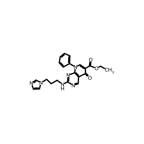 CCOC(=O)c1cn(-c2ccccc2)c2nc(NCCCn3ccnc3)ncc2c1=O